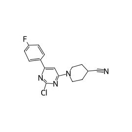 N#CC1CCN(c2cc(-c3ccc(F)cc3)nc(Cl)n2)CC1